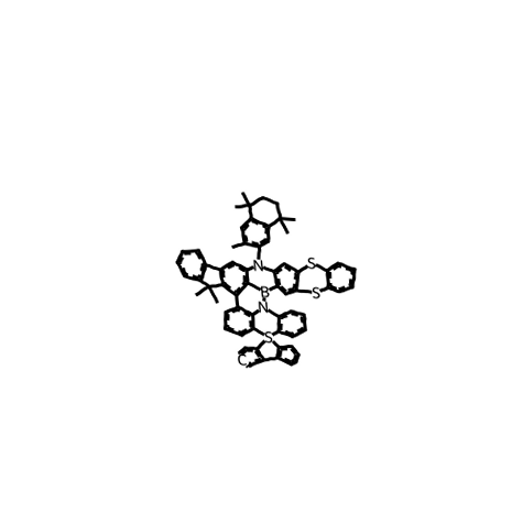 Cc1cc2c(cc1N1c3cc4c(cc3B3c5c1cc1c(c5-c5cccc6c5N3c3ccccc3S63c5ccccc5-c5ccccc53)C(C)(C)c3ccccc3-1)Sc1ccccc1S4)C(C)(C)CCC2(C)C